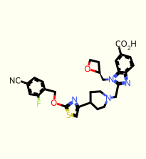 N#Cc1ccc(COc2nc(C3CCN(Cc4nc5ccc(C(=O)O)cc5n4C[C@@H]4CCO4)CC3)cs2)c(F)c1